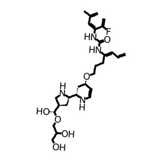 C=C/C=C(\CCCO[C@@H]1C=CN[C@H]([C@H]2C[C@@H]([C@@H](O)OCC(O)CO)CN2)C1)NC(=O)N/C(=C/C(=C)C)C(=C)F